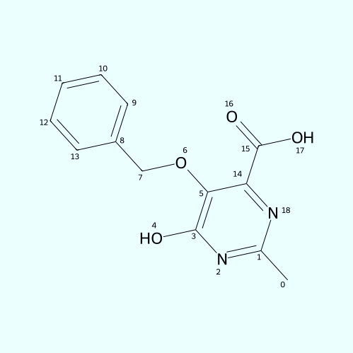 Cc1nc(O)c(OCc2ccccc2)c(C(=O)O)n1